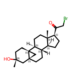 C[C@@]1(O)CC[C@@]23C[C@@]2(CC[C@H]2[C@@H]4CC[C@H](C(=O)CBr)[C@@]4(C)CC[C@@H]23)C1